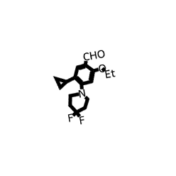 CCOc1cc(N2CCC(F)(F)CC2)c(C2CC2)cc1C=O